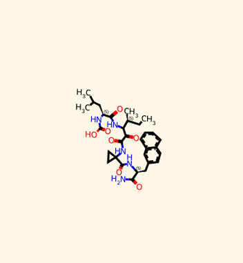 CC[C@H](C)C(NC(=O)[C@H](CC(C)C)NC(=O)O)C(=O)C(=O)NC1(C(=O)N[C@@H](Cc2ccc3ccccc3c2)C(N)=O)CC1